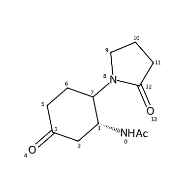 CC(=O)N[C@@H]1CC(=O)CCC1N1CCCC1=O